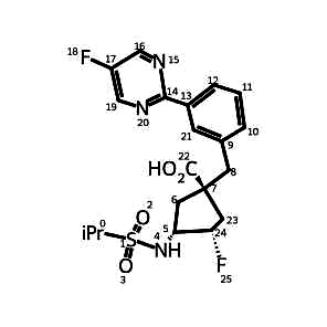 CC(C)S(=O)(=O)N[C@@H]1C[C@@](Cc2cccc(-c3ncc(F)cn3)c2)(C(=O)O)C[C@@H]1F